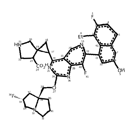 CCc1c(F)ccc2cc(O)cc(-c3ncc4c(C5CC56CNCC6C(=O)O)nc(OC[C@@]56CCCN5C[C@H](F)C6)nc4c3F)c12